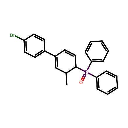 CC1C=C(c2ccc(Br)cc2)C=CC1P(=O)(c1ccccc1)c1ccccc1